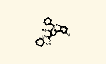 CC1=C(C(=O)N[C@H]2CCCC[C@H]2O)CC(c2cc(Cl)ccc2Cl)N1CC1CCCCC1